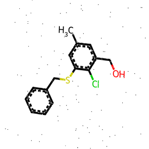 Cc1cc(CO)c(Cl)c(SCc2ccccc2)c1